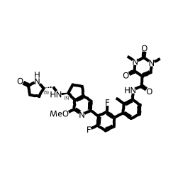 COc1nc(-c2c(F)ccc(-c3cccc(NC(=O)c4cn(C)c(=O)n(C)c4=O)c3C)c2F)cc2c1[C@@H](NC[C@@H]1CCC(=O)N1)CC2